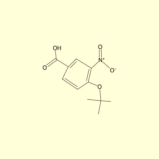 CC(C)(C)Oc1ccc(C(=O)O)cc1[N+](=O)[O-]